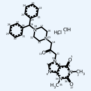 Cl.Cl.Cn1c(=O)c2c(ncn2CC(=O)CN2CCN(C(c3ccccc3)c3ccccc3)CC2)n(C)c1=O